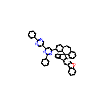 C1=Cc2ccc(-c3cc(-c4cnc(-c5ccccc5)nc4)nc(-c4ccccc4)n3)cc2C2(c3ccccc31)c1ccccc1-c1cc3c(cc12)oc1ccccc13